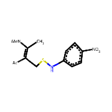 CNC(C)=C(CSNc1ccc([N+](=O)[O-])cc1)C(C)=O